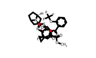 COC(=O)c1cc(F)c2nc(N3C4CC[C@H]3CC(OCc3c(-c5ccccc5OC(F)(F)F)noc3C3CC3)C4)sc2c1